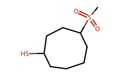 CS(=O)(=O)C1CCCCC(S)CC1